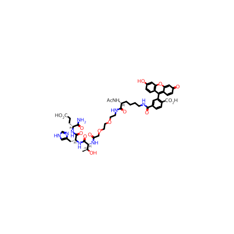 CC(=O)N[C@H](CCCCNC(=O)c1ccc(C(=O)O)c(-c2c3ccc(=O)cc-3oc3cc(O)ccc23)c1)C(=O)NCCOCCOCC(=O)N[C@@H](C(=O)N[C@H](Cc1c[nH]cn1)C(=O)N[C@H](CCC(=O)O)C(N)=O)[C@H](C)O